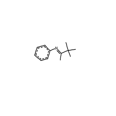 C/C(=N\c1ccccc1)C(C)(C)C